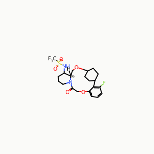 O=C1COc2cccc(F)c2C2CCC(CC2)OC[C@H]2C(NS(=O)(=O)C(F)(F)F)CCCN12